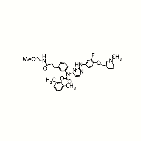 COCCNC(=O)CCc1cccc(N(C(=O)Oc2c(C)cccc2C)c2ccnc(Nc3ccc(OCC4CCCN(C)C4)c(F)c3)n2)c1